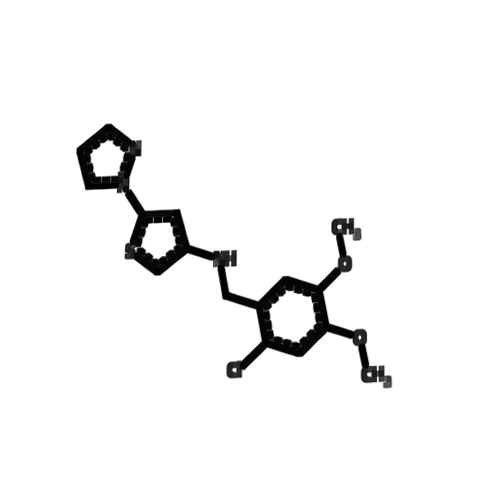 COc1cc(Cl)c(CNc2csc(-n3cccn3)c2)cc1OC